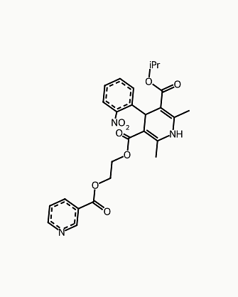 CC1=C(C(=O)OCCOC(=O)c2cccnc2)C(c2ccccc2[N+](=O)[O-])C(C(=O)OC(C)C)=C(C)N1